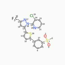 CS(=O)(=O)c1cccc(-c2ccc(-c3cc(C(F)(F)F)nn3-c3ncccc3Cl)s2)c1